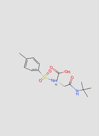 Cc1ccc(S(=O)(=O)N[C@@H](CC(=O)NC(C)(C)C)C(=O)O)cc1